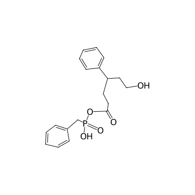 O=C(CCC(CCO)c1ccccc1)OP(=O)(O)Cc1ccccc1